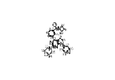 O=C(c1cccc(-c2nc(N3CCOCC3)nc3c2CCN3c2ccncc2)c1)N1CCC1